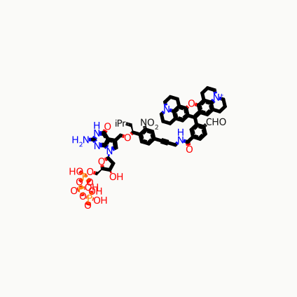 CC(C)C[C@H](OCc1cn([C@H]2C[C@@H](O)[C@@H](COP(=O)(O)OP(=O)(O)OP(=O)(O)O)O2)c2nc(N)[nH]c(=O)c12)c1ccc(C#CCNC(=O)c2ccc(C=O)c(C3=c4cc5c6c(c4Oc4c3cc3c7c4CCCN7CCC3)CCC[N+]=6CCC5)c2)cc1[N+](=O)[O-]